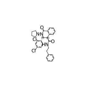 O=C(NCCc1ccccc1)[C@@H]1c2ccccc2C(=O)N(N2CCCC2)[C@H]1c1ccc(Cl)cc1Cl